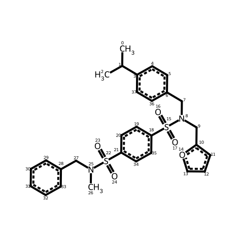 CC(C)c1ccc(CN(Cc2ccco2)S(=O)(=O)c2ccc(S(=O)(=O)N(C)Cc3ccccc3)cc2)cc1